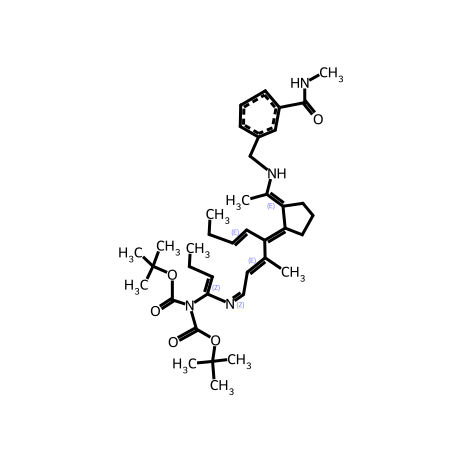 CC/C=C(/N=C\C=C(/C)C(/C=C/CC)=C1CCC/C1=C(/C)NCc1cccc(C(=O)NC)c1)N(C(=O)OC(C)(C)C)C(=O)OC(C)(C)C